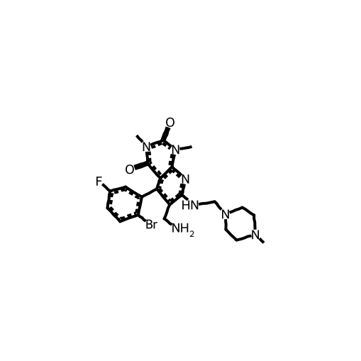 CN1CCN(CNc2nc3c(c(-c4cc(F)ccc4Br)c2CN)c(=O)n(C)c(=O)n3C)CC1